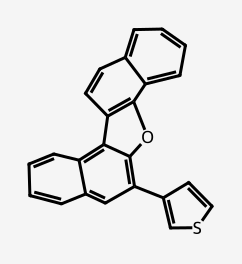 c1ccc2c(c1)ccc1c2oc2c(-c3ccsc3)cc3ccccc3c21